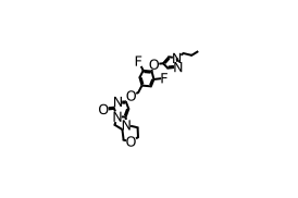 CCCn1cc(Oc2c(F)cc(COc3cc4n(c(=O)n3)CC3COCCN43)cc2F)cn1